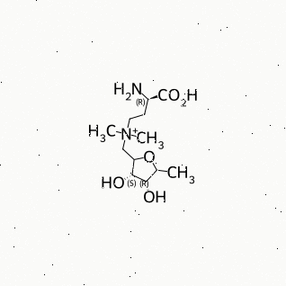 CC1OC(C[N+](C)(C)CC[C@@H](N)C(=O)O)[C@@H](O)[C@H]1O